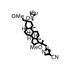 COCC1(O[Si](C)(C)C(C)(C)C)CC[C@@]2(C)[C@H](CC[C@@H]3[C@@H]2CC[C@]2(C)C([C@@](C)(Cn4cc(C#N)cn4)OC)CC[C@@H]32)C1